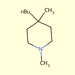 CCCCC1(C)CCN(C)CC1